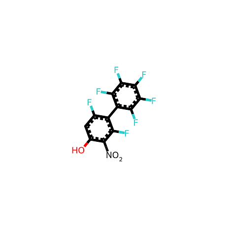 O=[N+]([O-])c1c(O)cc(F)c(-c2c(F)c(F)c(F)c(F)c2F)c1F